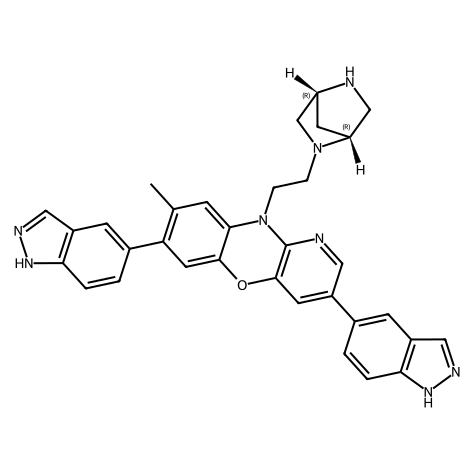 Cc1cc2c(cc1-c1ccc3[nH]ncc3c1)Oc1cc(-c3ccc4[nH]ncc4c3)cnc1N2CCN1C[C@H]2C[C@@H]1CN2